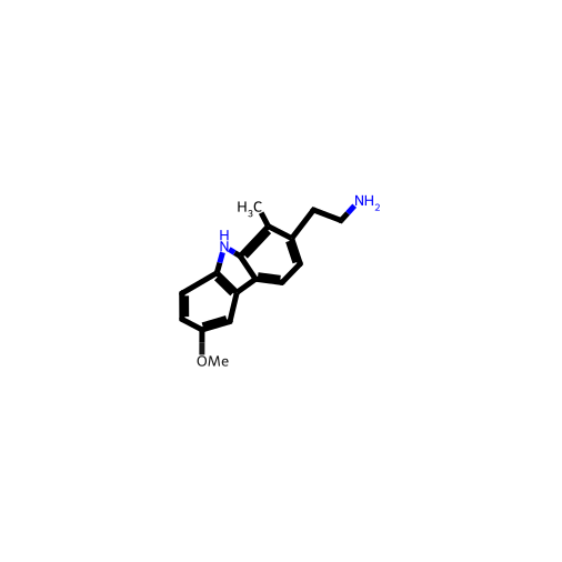 COc1ccc2[nH]c3c(C)c(CCN)ccc3c2c1